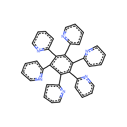 c1ccc(-c2c(-c3ccccn3)c(-c3ccccn3)c(-c3ccccn3)c(-c3ccccn3)c2-c2ccccn2)nc1